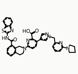 O=C(Nc1nc2ccccc2s1)c1cccc2c1CN(c1ccc(-c3cnn(Cc4cccc(N5CCCC5)n4)c3)c(C(=O)O)n1)CC2